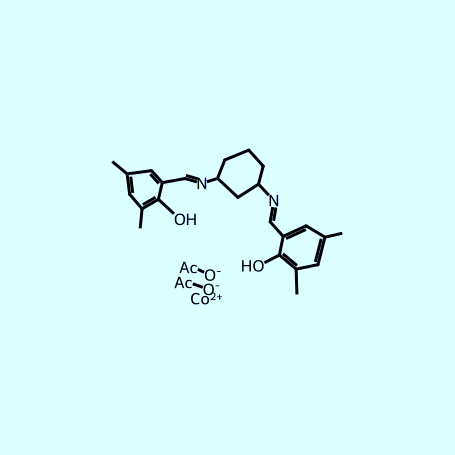 CC(=O)[O-].CC(=O)[O-].Cc1cc(C)c(O)c(C=NC2CCCC(N=Cc3cc(C)cc(C)c3O)C2)c1.[Co+2]